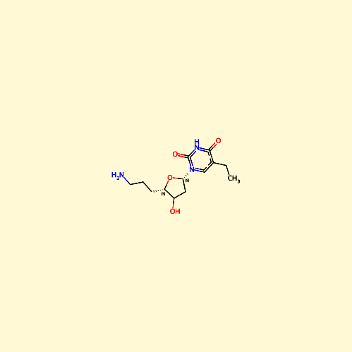 CCc1cn([C@@H]2CC(O)[C@H](CCCN)O2)c(=O)[nH]c1=O